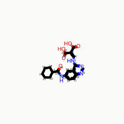 O=C(O)C(=CNc1ncnc2ccc(NC(=O)C3CCCCC3)cc12)C(=O)O